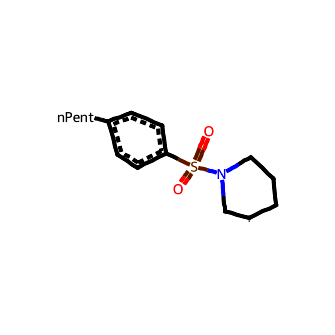 CCCCCc1ccc(S(=O)(=O)N2C[CH]CCC2)cc1